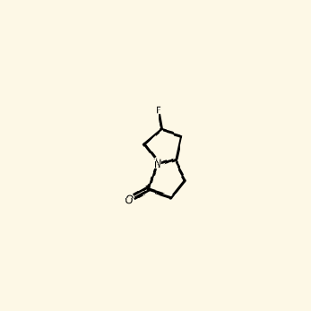 O=C1CCC2CC(F)CN12